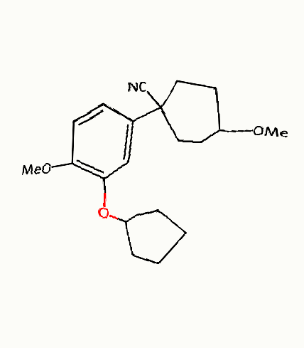 COc1ccc(C2(C#N)CCC(OC)CC2)cc1OC1CCCC1